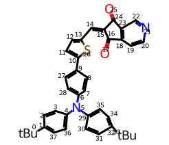 CC(C)(C)c1ccc(N(c2ccc(-c3ccc(/C=C4\C(=O)c5ccncc5C4=O)s3)cc2)c2ccc(C(C)(C)C)cc2)cc1